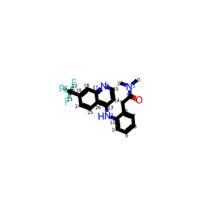 CN(C)C(=O)Cc1ccccc1Nc1ccnc2cc(C(F)(F)F)ccc12